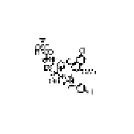 CC[C@@H]1C[C@]1(NC(=O)[C@@H]1C[C@@H](Oc2ncc(OC)c3ccc(Cl)cc23)CN1C(=O)[C@@H](Nc1nc(-c2ccc(Cl)cc2)cs1)C(C)(C)C)C(=O)NS(=O)(=O)C1CC1